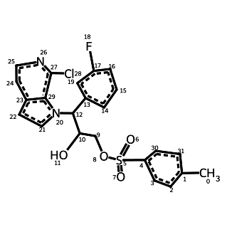 Cc1ccc(S(=O)(=O)OCC(O)C(c2cccc(F)c2)n2ccc3ccnc(Cl)c32)cc1